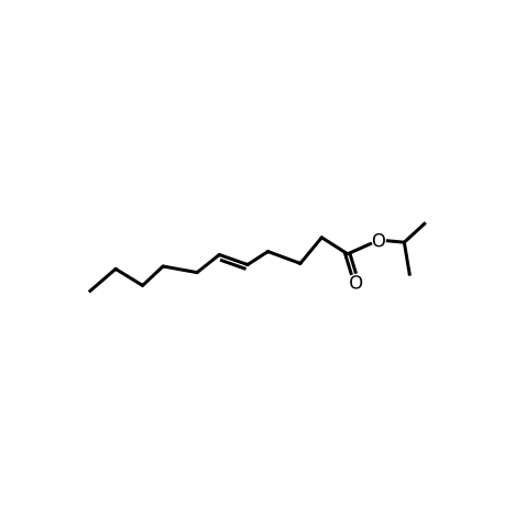 CCCCCC=CCCCC(=O)OC(C)C